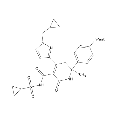 CCCCCc1ccc(C2(C)CC(c3ccn(CC4CC4)n3)=C(C(=O)NS(=O)(=O)C3CC3)C(=O)N2)cc1